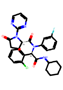 O=C(NC1CCCCC1)[C@@H](c1ccccc1Cl)N(C(=O)[C@@H]1CCC(=O)N1c1ncccn1)c1cccc(F)c1